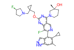 Cc1cc2[nH]ncc2c(-c2ncc3c(N4CCC[C@@](C)(O)C4)nc(OCC4(CN5CC[C@@H](F)C5)CC4)nc3c2F)c1C1CC1